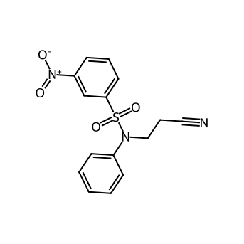 N#CCCN(c1ccccc1)S(=O)(=O)c1cccc([N+](=O)[O-])c1